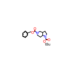 CC(C)(C)OC(=O)N1CCC2CN(C(=O)OCc3ccccc3)CCC21